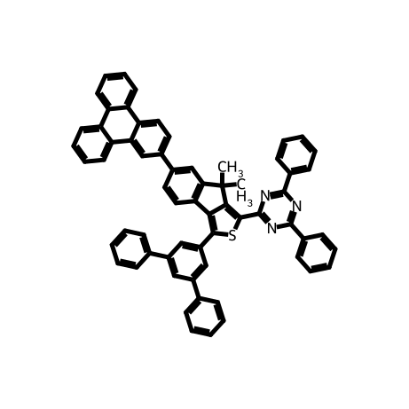 CC1(C)c2cc(-c3ccc4c5ccccc5c5ccccc5c4c3)ccc2-c2c(-c3cc(-c4ccccc4)cc(-c4ccccc4)c3)sc(-c3nc(-c4ccccc4)nc(-c4ccccc4)n3)c21